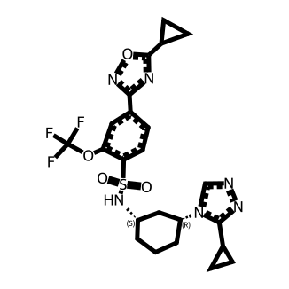 O=S(=O)(N[C@H]1CCC[C@@H](n2cnnc2C2CC2)C1)c1ccc(-c2noc(C3CC3)n2)cc1OC(F)(F)F